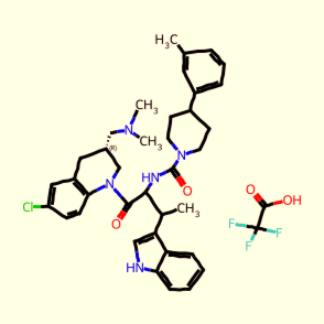 Cc1cccc(C2CCN(C(=O)NC(C(=O)N3C[C@@H](CN(C)C)Cc4cc(Cl)ccc43)C(C)c3c[nH]c4ccccc34)CC2)c1.O=C(O)C(F)(F)F